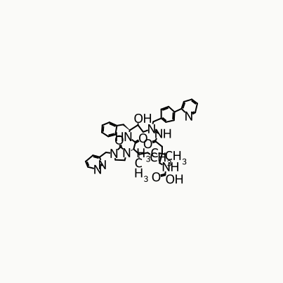 CC[C@H](C)[C@@H](C(=O)N[C@@H](Cc1ccccc1)[C@@H](O)CN(Cc1ccc(-c2ccccn2)cc1)NC(=O)CC(C)(C)CNC(=O)O)N1CCN(Cc2cccnn2)C1=O